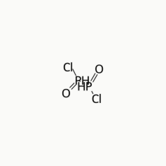 O=[PH](Cl)[PH](=O)Cl